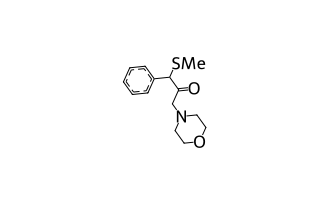 CSC(C(=O)CN1CCOCC1)c1ccccc1